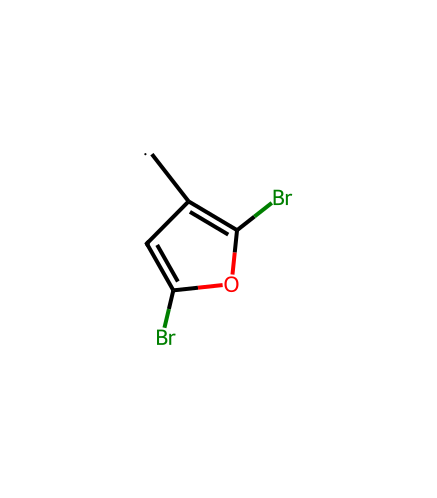 [CH2]c1cc(Br)oc1Br